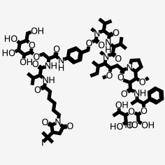 CCC(C)C(C(CC(=O)N1CCCC1C(OC)C(C)C(=O)NC(C)C(OC(OC(C(=O)O)C(C)O)C(O)O)c1ccccc1)OC)N(C)C(=O)C(NC(=O)C(C(C)C)N(C)C(=O)OCc1ccc(NC(=O)C(COC2OC(CO)C(O)C(O)C2O)NC(=O)C(NC(=O)CCCCCN2C(=O)CC(C(C)(C)I)C2=O)C(C)C)cc1)C(C)C